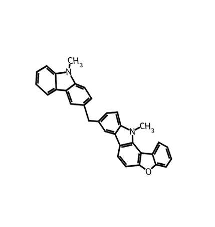 Cn1c2ccccc2c2cc(Cc3ccc4c(c3)c3ccc5oc6ccccc6c5c3n4C)ccc21